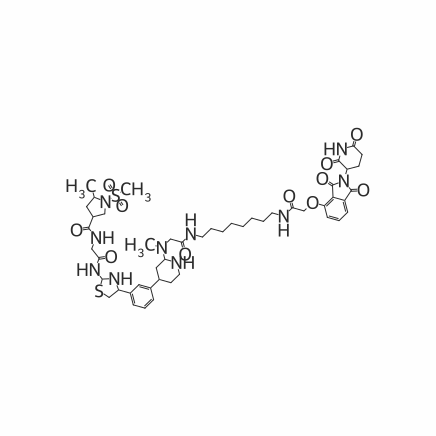 CC1CC(C(=O)NCC(=O)NC2NC(c3cccc(C4CCNC(N(C)CC(=O)NCCCCCCCCNC(=O)COc5cccc6c5C(=O)N(C5CCC(=O)NC5=O)C6=O)C4)c3)CS2)CN1S(C)(=O)=O